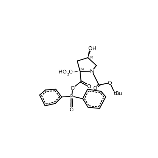 CC(C)(C)OC(=O)N1C[C@H](O)C[C@]1(C(=O)O)C(=O)OP(=O)(c1ccccc1)c1ccccc1